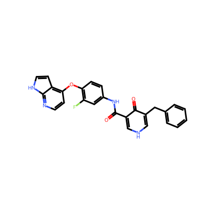 O=C(Nc1ccc(Oc2ccnc3[nH]ccc23)c(F)c1)c1c[nH]cc(Cc2ccccc2)c1=O